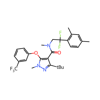 Cc1ccc(C(F)(F)CN(C)C(=O)c2c(C(C)(C)C)nn(C)c2Oc2cccc(C(F)(F)F)c2)c(C)c1